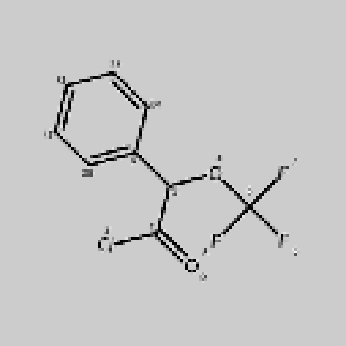 O=C(Cl)C(OC(F)(F)F)c1ccccc1